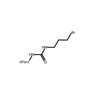 CCCCCNC(=O)NCCCC(C)C